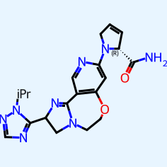 CC(C)n1ncnc1C1CN2CCOc3cc(N4CC=C[C@@H]4C(N)=O)ncc3C2=N1